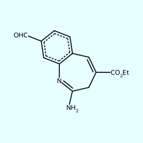 CCOC(=O)C1=Cc2ccc(C=O)cc2N=C(N)C1